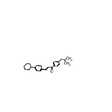 CC(C)Cc1ccc(C(=O)/C=C/c2ccc(C3CCCCC3)cc2)cc1